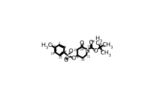 Cc1ccc(S(=O)(=O)OC2CCN(C(=O)OC(C)(C)C)C(=O)C2)cc1